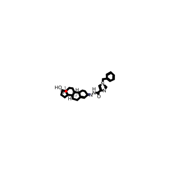 C[C@]12CC[C@H]3[C@@H](CCC4=C/C(=N/NC(=O)c5cn(Cc6ccccc6)cn5)CC[C@@]43C)[C@@H]1CC[C@@H]2O